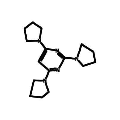 c1c(N2CCCC2)nc(N2CCCC2)nc1N1CCCC1